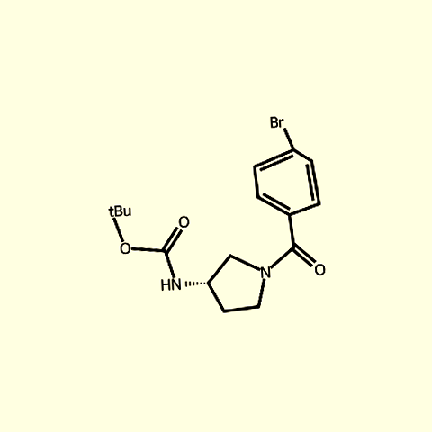 CC(C)(C)OC(=O)N[C@H]1CCN(C(=O)c2ccc(Br)cc2)C1